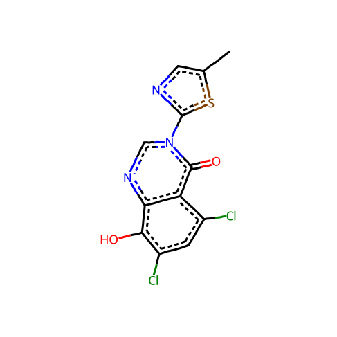 Cc1cnc(-n2cnc3c(O)c(Cl)cc(Cl)c3c2=O)s1